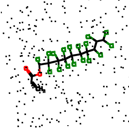 C=CC(=O)OC(Cl)C(Cl)(Cl)C(Cl)(Cl)C(Cl)(Cl)C(Cl)(Cl)C(Cl)(Cl)C(Cl)(Cl)C(Cl)C(Cl)C(Cl)Cl